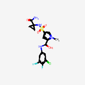 Cn1cc(S(=O)(=O)NC2(C(N)=O)CC2)cc1C(O)Nc1cc(F)c(F)c(Cl)c1